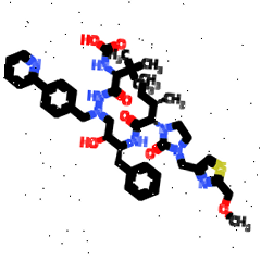 CC[C@H](C)[C@@H](C(=O)N[C@@H](Cc1ccccc1)[C@@H](O)CN(Cc1ccc(-c2ccccn2)cc1)NC(=O)[C@@H](NC(=O)O)C(C)(C)C)N1CCN(Cc2csc(COC)n2)C1=O